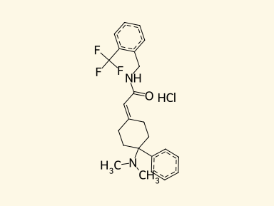 CN(C)C1(c2ccccc2)CCC(=CC(=O)NCc2ccccc2C(F)(F)F)CC1.Cl